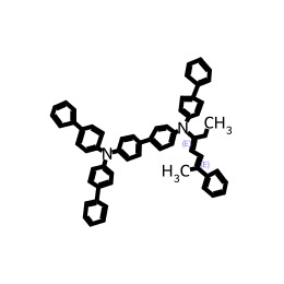 CC/C(=C\C=C(/C)c1ccccc1)N(c1ccc(-c2ccccc2)cc1)c1ccc(-c2ccc(N(c3ccc(-c4ccccc4)cc3)c3ccc(-c4ccccc4)cc3)cc2)cc1